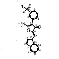 NC1=C(c2cccc(C(F)(F)F)c2)C(=O)/C(=C/C2C=Cc3ccccc32)O1